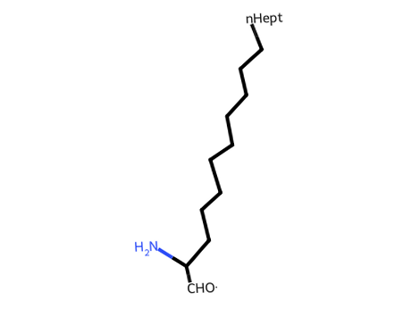 CCCCCCCCCCCCCCCCC(N)[C]=O